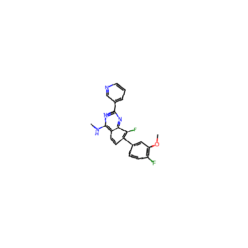 CNc1nc(-c2cccnc2)nc2c(F)c(-c3ccc(F)c(OC)c3)ccc12